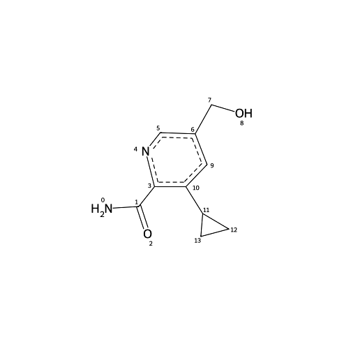 NC(=O)c1ncc(CO)cc1C1CC1